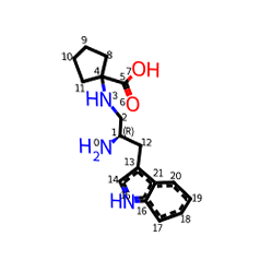 N[C@@H](CNC1(C(=O)O)CCCC1)Cc1c[nH]c2ccccc12